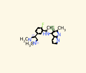 C=N/C=C(\C=N/C)c1ccc(F)c([C@@H](C)Nc2c(Cl)c(C)nc3ncccc23)c1